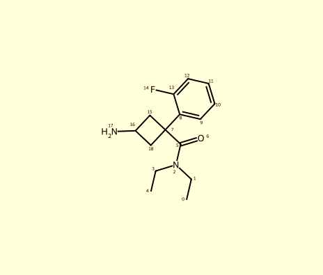 CCN(CC)C(=O)C1(c2ccccc2F)CC(N)C1